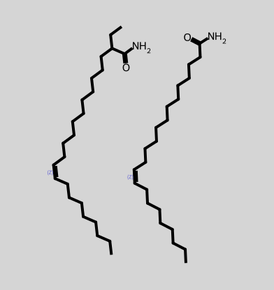 CCCCCCCC/C=C\CCCCCCCCCCC(CC)C(N)=O.CCCCCCCC/C=C\CCCCCCCCCCCC(N)=O